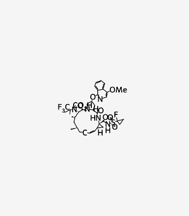 COc1cnc(O[C@@H]2C[C@H]3C(=O)N[C@]4(C(=O)NS(=O)(=O)C5(F)CC5)C[C@H]4C=CCC[C@@H](C)C[C@@H](C)[C@H](N(C(=O)O)C(C)(C)C(F)(F)F)C(=O)N3C2)c2ccccc12